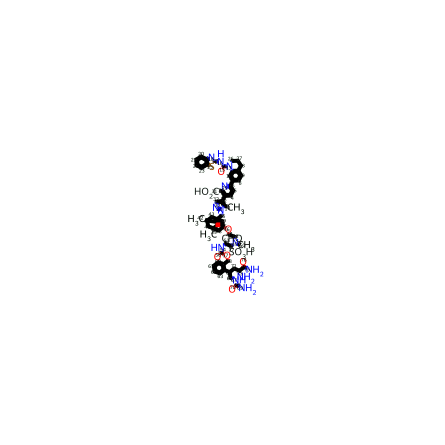 Cc1c(-c2ccc(-c3ccc4c(c3)N(C(=O)Nc3nc5ccccc5s3)CCC4)nc2C(=O)O)cnn1CC12CC3(C)CC(C)(C1)CC(OCCN(C)C([C@@H](C=O)NC(=O)OCc1ccccc1C(CNC(N)=O)C[C@H](N)C(N)=O)S(=O)(=O)O)(C3)C2